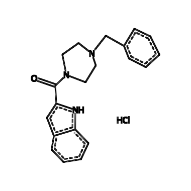 Cl.O=C(c1cc2ccccc2[nH]1)N1CCN(Cc2ccccc2)CC1